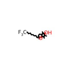 Cc1c(C)c2c(c(C)c1O)CC[C@@](C)(CCCCCCCCC(F)(F)F)O2